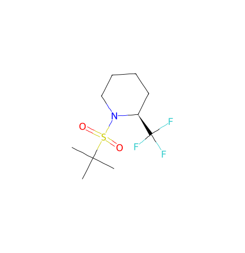 CC(C)(C)S(=O)(=O)N1CCCC[C@H]1C(F)(F)F